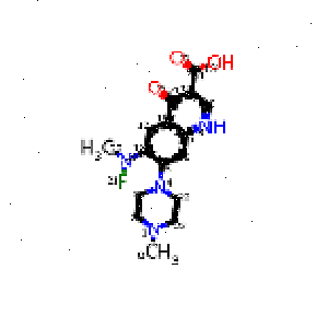 CN1CCN(c2cc3[nH]cc(C(=O)O)c(=O)c3cc2N(C)F)CC1